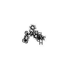 Cc1c(C(=O)N2CCS(=O)(=O)CC2)cc(-c2ccc(S(=O)(=O)NC(C)(C)C)c(Cl)c2Cl)n1CC1CCCCC1